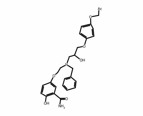 CC(=O)COc1ccc(OCC(O)CN(CCOc2ccc(O)c(C(N)=O)c2)Cc2ccccc2)cc1